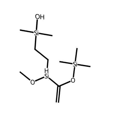 C=C(O[Si](C)(C)C)[SiH](CC[Si](C)(C)O)OC